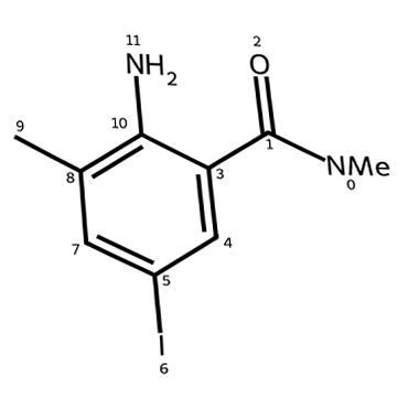 CNC(=O)c1cc(I)cc(C)c1N